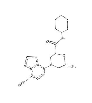 C[C@@H]1CN(c2ccc(C#N)n3nccc23)C[C@H](C(=O)NC2CCCCC2)O1